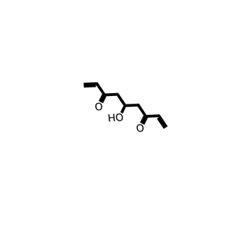 C=CC(=O)CC(O)CC(=O)C=C